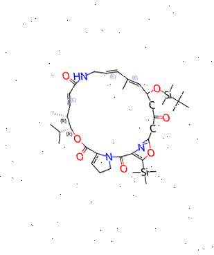 CC1=C\C(O[Si](C)(C)C(C)(C)C)CC(=O)Cc2nc(c([Si](C)(C)C)o2)C(=O)N2CCC=C2C(=O)O[C@H](C(C)C)[C@H](C)/C=C/C(=O)NC\C=C\1